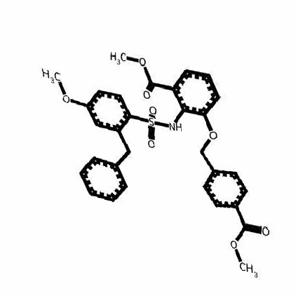 COC(=O)c1ccc(COc2cccc(C(=O)OC)c2NS(=O)(=O)c2ccc(OC)cc2Cc2ccccc2)cc1